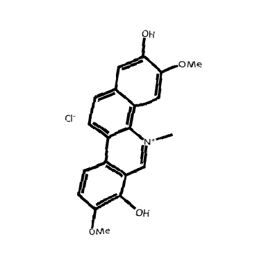 COc1cc2c(ccc3c4ccc(OC)c(O)c4c[n+](C)c23)cc1O.[Cl-]